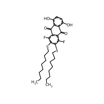 CCCCCCCCSc1c(F)c2c(c(F)c1SCCCCCCCC)C(=O)c1c(O)ccc(O)c1C2=O